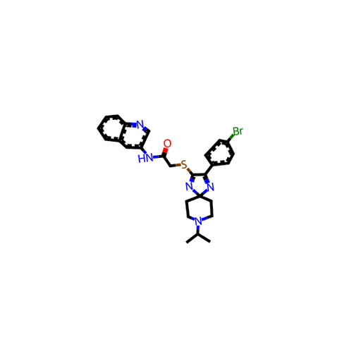 CC(C)N1CCC2(CC1)N=C(SCC(=O)Nc1cnc3ccccc3c1)C(c1ccc(Br)cc1)=N2